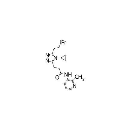 Cc1ncccc1NC(=O)CCc1nnc(CCC(C)C)n1C1CC1